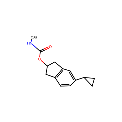 CC(C)(C)NC(=O)OC1Cc2ccc(C3CC3)cc2C1